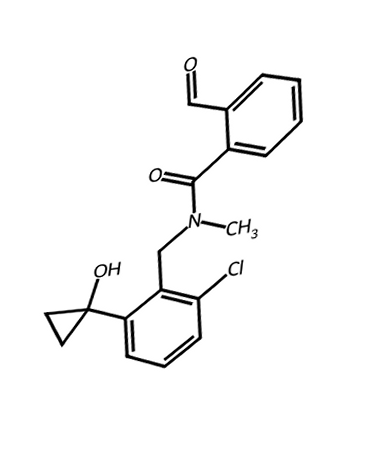 CN(Cc1c(Cl)cccc1C1(O)CC1)C(=O)c1ccccc1C=O